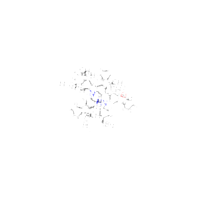 CC(C)(C)c1ccc(Nc2cc3c(cc2-c2c4c(c5c6cc7c(cc6n6c5c2Bc2cc5c(cc2-6)-c2ccccc2C5(C)C)C(C)(C)CCC7(C)C)-c2ccccc2C4(C)C)oc2ccccc23)cc1